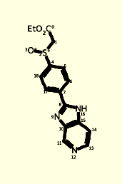 CCOC(=O)C[S+]([O-])c1ccc(-c2nc3cnccc3[nH]2)cc1